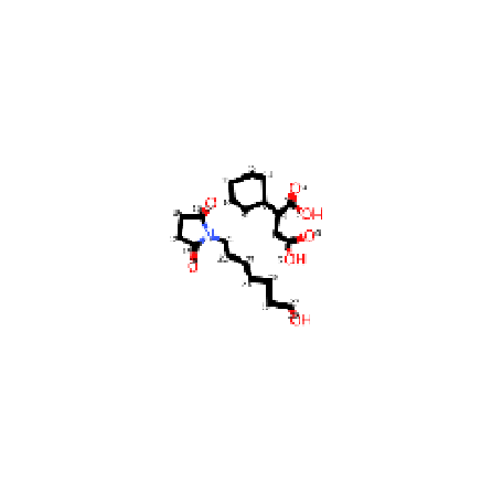 O=C(O)CC(C(=O)O)C1CCCCC1.O=C1CCC(=O)N1CCCCCCCO